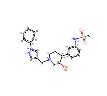 CS(=O)(=O)Nc1cccc([C@@H]2CCN(Cc3cnn(-c4ccccc4)c3)C[C@@H]2O)c1